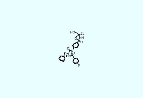 CCC(C)(CO)NS(=O)(=O)c1ccc(NC(=O)[C@H](Cc2ccccc2)NC(=O)c2ccc(F)cc2)cc1